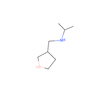 CC(C)NCC1CBCC1